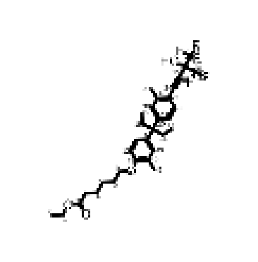 CCOC(=O)CCCCCOc1ccc(C(CC)(CC)c2ccc(C#CC(O)(C(F)(F)F)C(F)(F)F)c(C)c2)cc1C